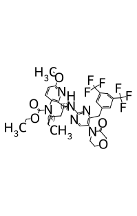 CCOC(=O)N1c2ccc(OC)nc2[C@@H](Nc2ncc(N3CCOCC3=O)c(Cc3cc(C(F)(F)F)cc(C(F)(F)F)c3)n2)C[C@H]1CC